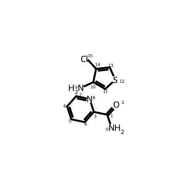 NC(=O)c1ccccn1.Nc1cscc1Cl